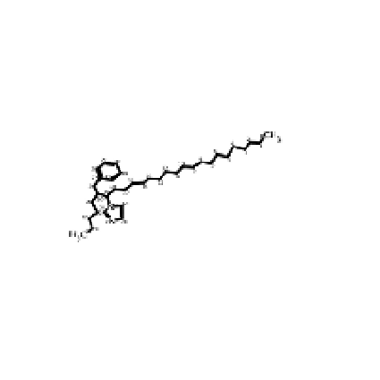 CCCCCCCCCCCCCCCCCCCC(C(CCCCC)Cc1ccccc1)n1ccnc1